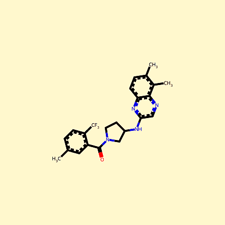 Cc1ccc(C(F)(F)F)c(C(=O)N2CCC(Nc3cnc4c(C)c(C)ccc4n3)C2)c1